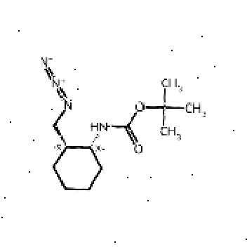 CC(C)(C)OC(=O)N[C@@H]1CCCC[C@H]1CN=[N+]=[N-]